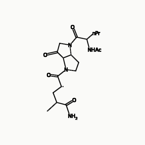 CCCC(NC(C)=O)C(=O)N1CC(=O)C2C1CCN2C(=O)[CH]CC(C)C(N)=O